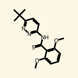 COc1cccc(OC)c1C(=S)Nc1ccc(C(C)(C)C)nn1